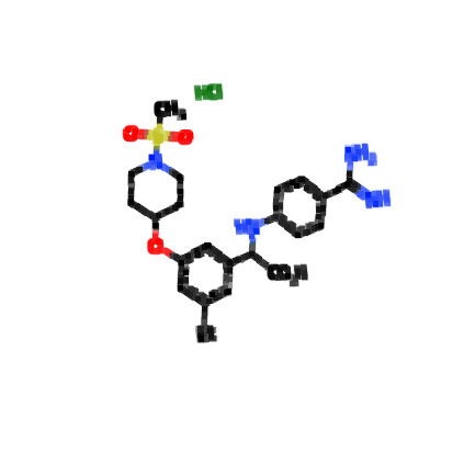 CCc1cc(OC2CCN(S(C)(=O)=O)CC2)cc(C(Nc2ccc(C(=N)N)cc2)C(=O)O)c1.Cl